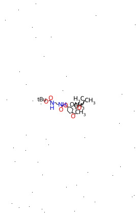 CO[C@H]1[C@H](C(C)(C)OCC=C(C)C)[C@]2(CC[C@H]1OC(=O)NCCNC(=O)OC(C)(C)C)CO2